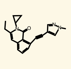 CCc1cc2cccc(C#Cc3cnn(C)c3)c2c(=O)n1C1CC1